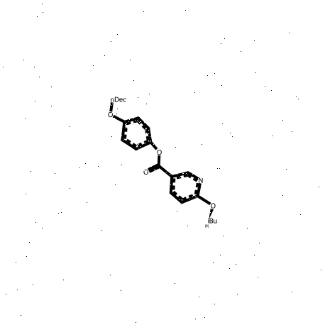 CCCCCCCCCCOc1ccc(OC(=O)c2ccc(O[C@H](C)CC)nc2)cc1